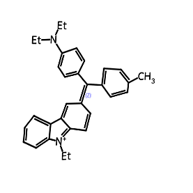 CCN(CC)c1ccc(/C(c2ccc(C)cc2)=c2/ccc3c(c2)-c2ccccc2[N+]=3CC)cc1